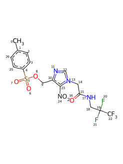 Cc1ccc(S(=O)(=O)OCc2ncn(CC(=O)NCC(F)(F)C(F)(F)F)c2[N+](=O)[O-])cc1